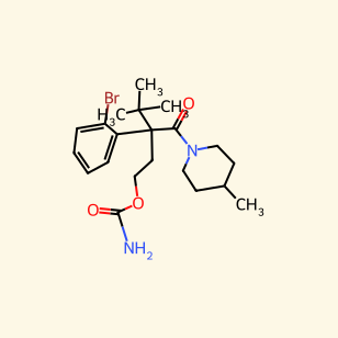 CC1CCN(C(=O)C(CCOC(N)=O)(c2ccccc2Br)C(C)(C)C)CC1